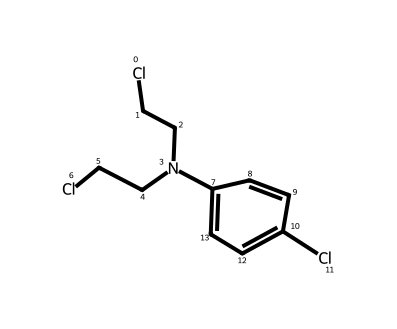 ClCCN(CCCl)c1ccc(Cl)cc1